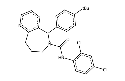 CC(C)(C)c1ccc(C2c3cccnc3CCCN2C(=O)Nc2ccc(Cl)cc2Cl)cc1